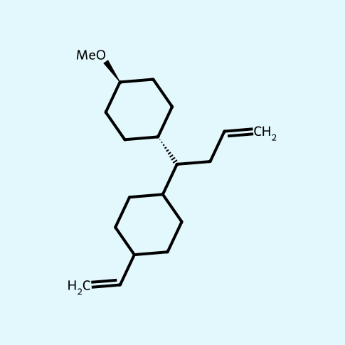 C=CCC(C1CCC(C=C)CC1)[C@H]1CC[C@H](OC)CC1